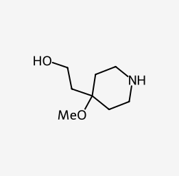 COC1(CCO)CCNCC1